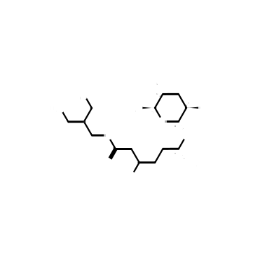 CCC(CC)COC(=O)CC(C)CC[C@@H](C)O[C@@H]1O[C@@H](C)[C@H](O)C[C@H]1O